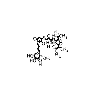 CC(C)C(=O)C(NC(=O)C(C)C(C)C)NC(O)C(=O)CSC1CC(=O)N(CCCCN2C[C@@H](O)[C@@H](O)[C@H](O)[C@H]2CO)C1=O